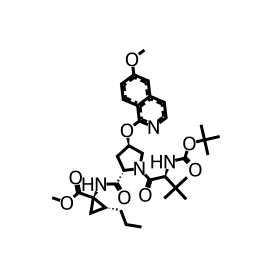 CCC[C@@H]1C[C@]1(NC(=O)[C@@H]1C[C@@H](Oc2nccc3cc(OC)ccc23)CN1C(=O)[C@@H](NC(=O)OC(C)(C)C)C(C)(C)C)C(=O)OC